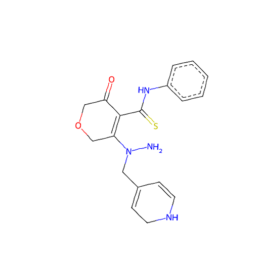 NN(CC1=CCNC=C1)C1=C(C(=S)Nc2ccccc2)C(=O)COC1